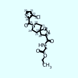 CCOC(=O)CNC(=O)C1=NOC2(CCN(C(=O)c3sccc3Cl)CC2)C1